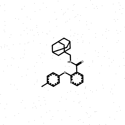 Cc1ccc(Sc2ncccc2C(=O)NCC23CC4CC(CC(C4)C2)C3)cc1